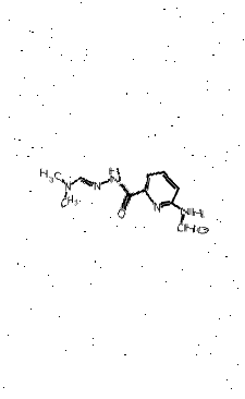 CN(C)C=NNC(=O)c1cccc(NC=O)n1